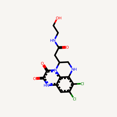 O=C(CC1CNc2c(Cl)c(Cl)cc3[nH]c(=O)c(=O)n1c23)NCCO